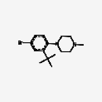 CN1CCN(c2ccc(Br)cc2C(C)(C)C)CC1